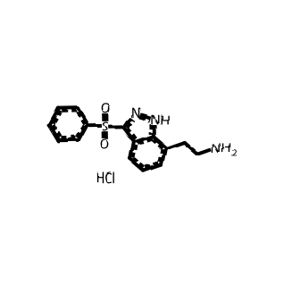 Cl.NCCc1cccc2c(S(=O)(=O)c3ccccc3)n[nH]c12